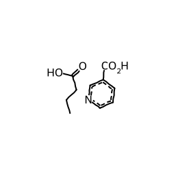 CCCC(=O)O.O=C(O)c1cccnc1